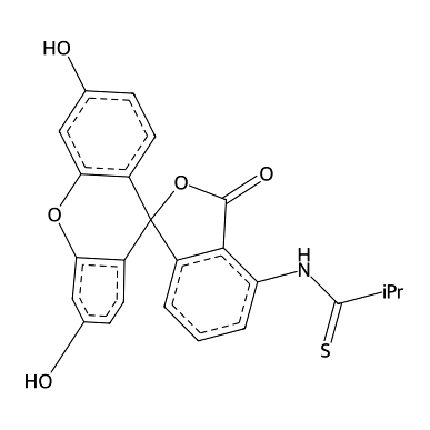 CC(C)C(=S)Nc1cccc2c1C(=O)OC21c2ccc(O)cc2Oc2cc(O)ccc21